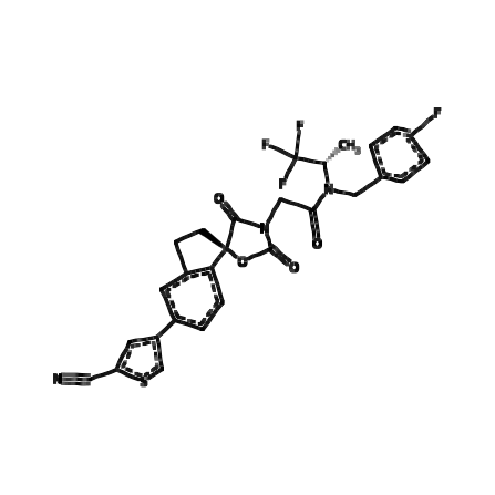 C[C@H](N(Cc1ccc(F)cc1)C(=O)CN1C(=O)O[C@@]2(CCc3cc(-c4csc(C#N)c4)ccc32)C1=O)C(F)(F)F